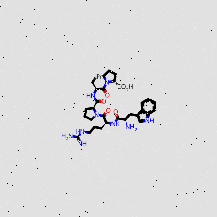 CC(C)C[C@H](NC(=O)[C@@H]1CCCN1C(=O)[C@H](CCCNC(=N)N)NC(=O)[C@@H](N)Cc1c[nH]c2ccccc12)C(=O)N1CCC[C@H]1C(=O)O